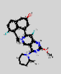 C#Cc1c(F)ccc2cc(O)cc(-c3ncc4c(N5CCCCC5C)nc(OC)nc4c3F)c12